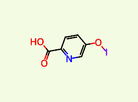 O=C(O)c1ccc(OI)cn1